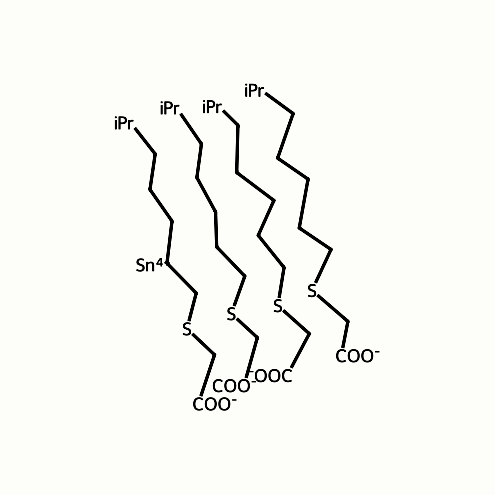 CC(C)CCCCCSCC(=O)[O-].CC(C)CCCCCSCC(=O)[O-].CC(C)CCCCCSCC(=O)[O-].CC(C)CCCCCSCC(=O)[O-].[Sn+4]